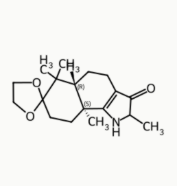 CC1NC2=C(CC[C@H]3C(C)(C)C4(CC[C@]23C)OCCO4)C1=O